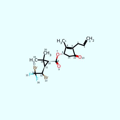 C=CCC1=C(C)[C@@H](OC(=O)[C@@H]2[C@@H](C(Br)C(F)(F)Br)C2(C)C)CC1=O